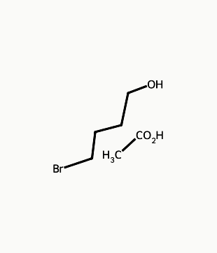 CC(=O)O.OCCCCBr